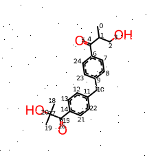 CC(CO)C(=O)c1ccc(Cc2ccc(C(=O)C(C)(C)O)cc2)cc1